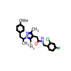 COc1ccc(CC(C)n2nc(C)c(CC(=O)NCc3ccc(F)cc3Cl)c2C)cc1